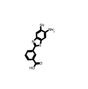 Nc1cc2sc(-c3cccc(C(=O)O)c3)nc2cc1S